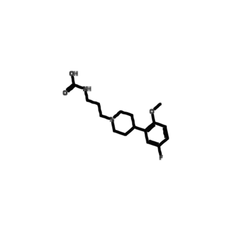 COc1ccc(F)cc1C1CCN(CCCNC(=O)O)CC1